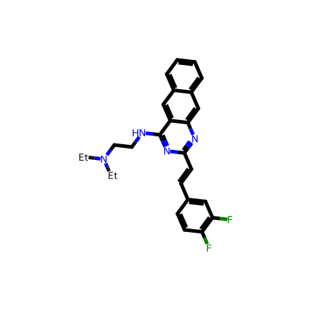 CCN(CC)CCNc1nc(C=Cc2ccc(F)c(F)c2)nc2cc3ccccc3cc12